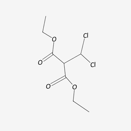 CCOC(=O)C(C(=O)OCC)C(Cl)Cl